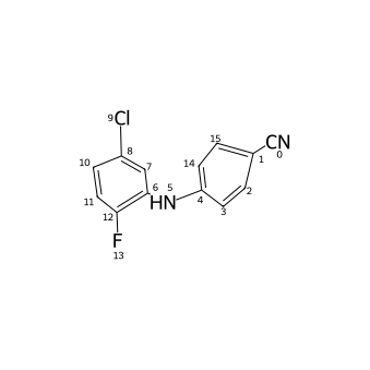 N#Cc1ccc(Nc2cc(Cl)ccc2F)cc1